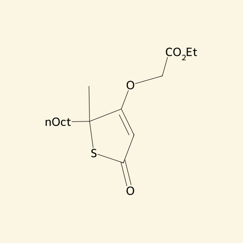 CCCCCCCCC1(C)SC(=O)C=C1OCC(=O)OCC